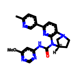 COc1cc(NC(=O)N2c3nc(-c4ccc(C)nc4)ccc3N3CC[C@H]2C3)ncn1